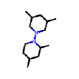 CC1CCN(N2CC(C)CC(C)C2)C(C)C1